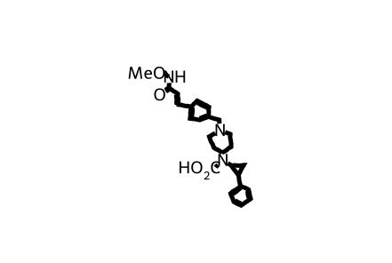 CONC(=O)C=Cc1ccc(CN2CCC(N(C(=O)O)C3CC3c3ccccc3)CC2)cc1